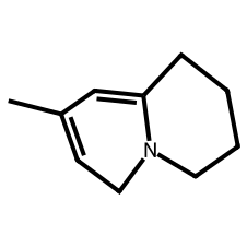 CC1=CCN2CCCCC2=C1